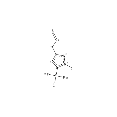 Cn1nc(CC=O)cc1C(F)(F)F